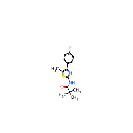 Cc1sc(NC(=O)C(C)(C)C)nc1-c1ccc(F)cc1